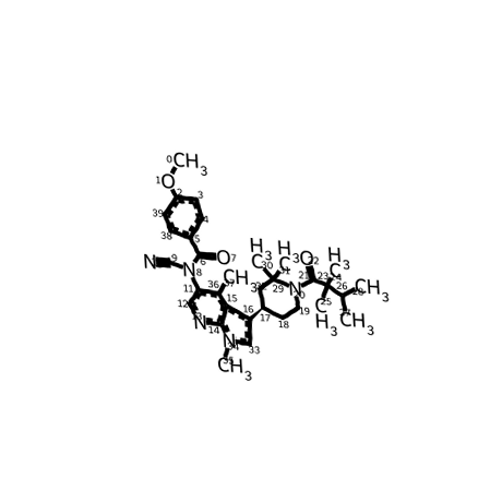 COc1ccc(C(=O)N(C#N)c2cnc3c(c([C@@H]4CCN(C(=O)C(C)(C)C(C)C)C(C)(C)C4)cn3C)c2C)cc1